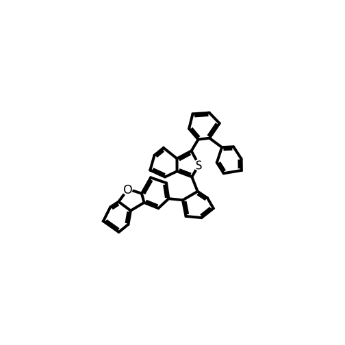 c1ccc(-c2ccccc2-c2sc(-c3ccccc3-c3ccc4oc5ccccc5c4c3)c3ccccc23)cc1